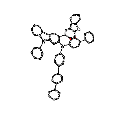 c1ccc(-c2ccc(-c3ccc(N(c4ccc(-c5ccccc5)cc4)c4cc5c(cc4-c4ccc6oc7ccccc7c6c4)c4ccccc4n5-c4ccccc4)cc3)cc2)cc1